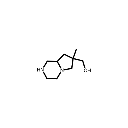 CC1(CO)CC2CNCCN2C1